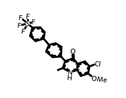 COc1cc2[nH]c(C)c(-c3ccc(-c4ccc(S(F)(F)(F)(F)F)cc4)cc3)c(=O)c2cc1Cl